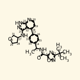 CC(NC(=O)c1nc(C(C)(C)C)no1)c1ccc(-c2ccnc3[nH]nc(NC4CCOC4)c23)cc1